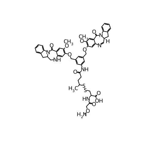 COc1cc2c(cc1OCc1cc(COc3cc4c(cc3OC)C(=O)N3c5ccccc5CC3CN4)cc(NC(=O)CCC(C)SSCC(NC(=O)CON)C(=O)O)c1)N=C[C@@H]1Cc3ccccc3N1C2=O